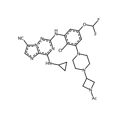 CC(=O)N1CC(N2CCN(c3cc(OC(F)F)cc(Nc4nc(NC5CC5)c5ncc(C#N)n5n4)c3Cl)CC2)C1